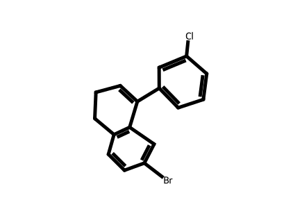 Clc1cccc(C2=CCCc3ccc(Br)cc32)c1